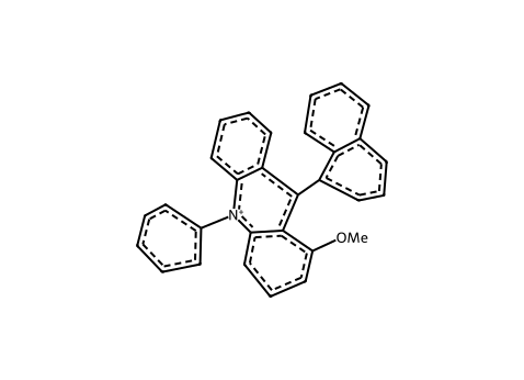 COc1cccc2c1c(-c1cccc3ccccc13)c1ccccc1[n+]2-c1ccccc1